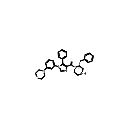 O=C(c1ncn(-c2cccc(N3CCOCC3)c2)c1-c1ccccc1)N1CCNC[C@H]1Cc1ccccc1